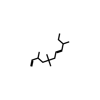 C=CC(C)CC(C)(C)CC=CC(C)CC